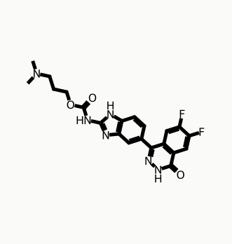 CN(C)CCCOC(=O)Nc1nc2cc(-c3n[nH]c(=O)c4cc(F)c(F)cc34)ccc2[nH]1